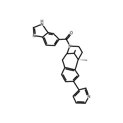 CC1C2Cc3ccc(-c4cccnc4)cc3[C@]1(C)CCN2C(=O)c1ccc2nc[nH]c2c1